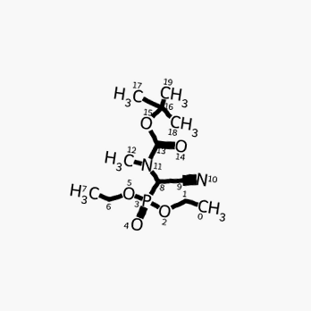 CCOP(=O)(OCC)C(C#N)N(C)C(=O)OC(C)(C)C